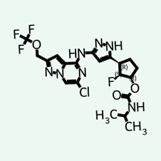 CC(C)NC(=O)O[C@@H]1CC[C@H](c2cc(Nc3nc(Cl)cn4nc(COC(F)(F)F)cc34)n[nH]2)[C@@H]1F